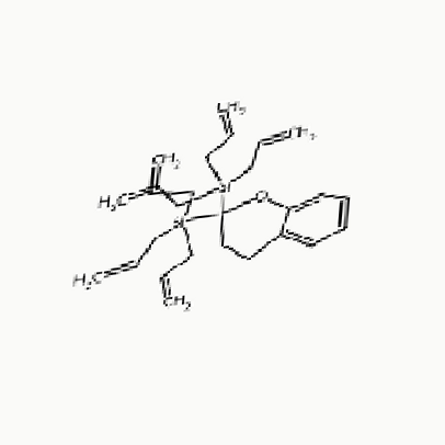 C=CC[Si](CC=C)(CC=C)C1([Si](CC=C)(CC=C)CC=C)CCc2ccccc2O1